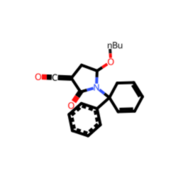 CCCCOC1CC(=C=O)C(=O)N1C1(c2ccccc2)C=CC=CC1